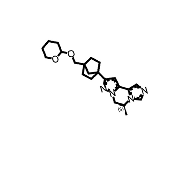 C[C@H]1Cn2nc(C34CCC(COC5CCCCO5)(CC3)C4)cc2-c2cncn21